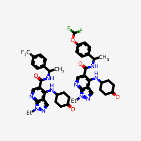 CCn1ncc2c(NC3CCC(=O)CC3)c(C(=O)NC(C)c3ccc(C(F)(F)F)cc3)cnc21.CCn1ncc2c(NC3CCC(=O)CC3)c(C(=O)NC(C)c3ccc(OC(F)F)cc3)cnc21